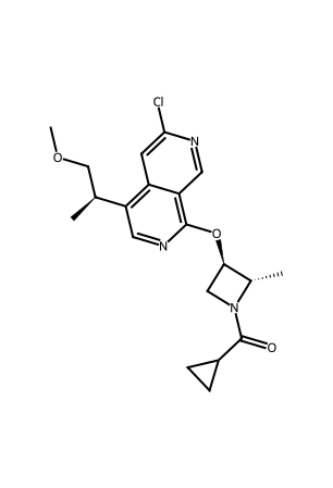 COC[C@H](C)c1cnc(O[C@@H]2CN(C(=O)C3CC3)[C@H]2C)c2cnc(Cl)cc12